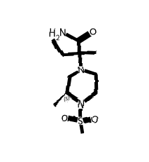 CCC(C)(C(N)=O)N1CCN(S(C)(=O)=O)[C@@H](C)C1